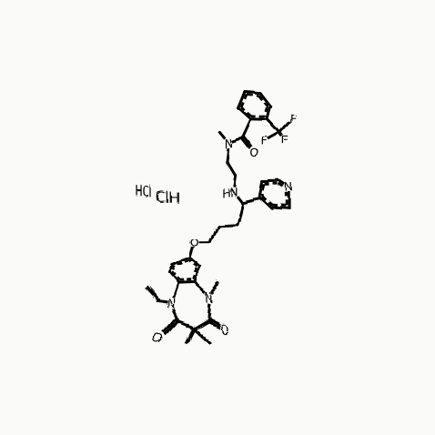 CCN1C(=O)C(C)(C)C(=O)N(C)c2cc(OCCCC(NCCN(C)C(=O)c3ccccc3C(F)(F)F)c3ccncc3)ccc21.Cl.Cl